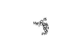 COc1ccc(-c2ccsc2)cc1C(C)(C)CC(O)(Cc1cc2cc(OC(C)C)ncc2[nH]1)C(F)(F)F